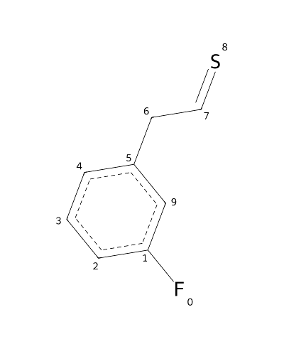 Fc1cccc(CC=S)c1